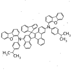 CC(C)c1ccc(N(c2ccc3c4c(c5ccccc5c3c2)-c2c(cc(N(c3ccc(C(C)C)cc3)c3cccc5c3oc3ccccc35)c3ccccc23)C42c3ccccc3-c3ccccc32)c2cccc3c2oc2ccccc23)cc1